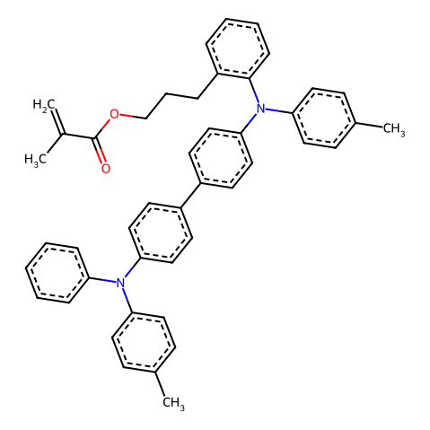 C=C(C)C(=O)OCCCc1ccccc1N(c1ccc(C)cc1)c1ccc(-c2ccc(N(c3ccccc3)c3ccc(C)cc3)cc2)cc1